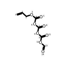 C=CCOC(=O)OC(=O)OC(=O)OC=O